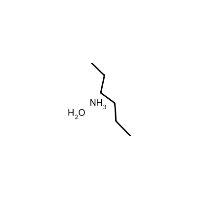 CCCCCC.N.O